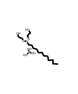 CCCCCCCCCCCCN(OCCO)OCCO.OB(O)O